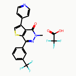 Cn1nc(-c2cccc(C(F)(F)F)c2)c2scc(-c3ccncc3)c2c1=O.O=C(O)C(F)(F)F